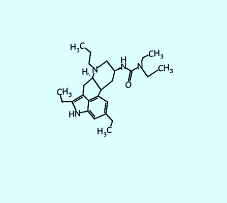 CCCN1C[C@@H](NC(=O)N(CC)CC)CC2c3cc(CC)cc4[nH]c(CC)c(c34)C[C@H]21